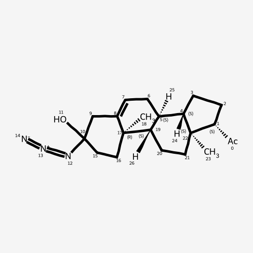 CC(=O)[C@H]1CC[C@H]2[C@@H]3CC=C4CC(O)(N=[N+]=[N-])CC[C@]4(C)[C@H]3CC[C@]12C